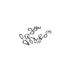 Cc1cccc(NC(=O)NCC(=O)N2[C@@H](c3ccccc3-c3ccccc3)SC[C@H]2OC(=O)OC(C)(C)C)c1